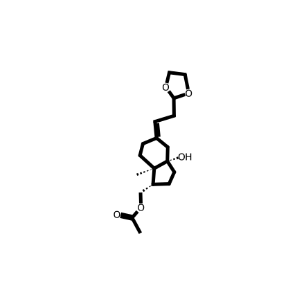 CC(=O)OC[C@H]1CC[C@]2(O)CC(=CCC3OCCO3)CC[C@]12C